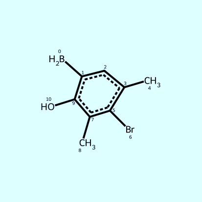 Bc1cc(C)c(Br)c(C)c1O